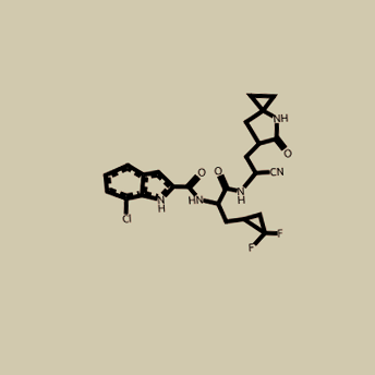 N#CC(CC1CC2(CC2)NC1=O)NC(=O)C(CC1CC1(F)F)NC(=O)c1cc2cccc(Cl)c2[nH]1